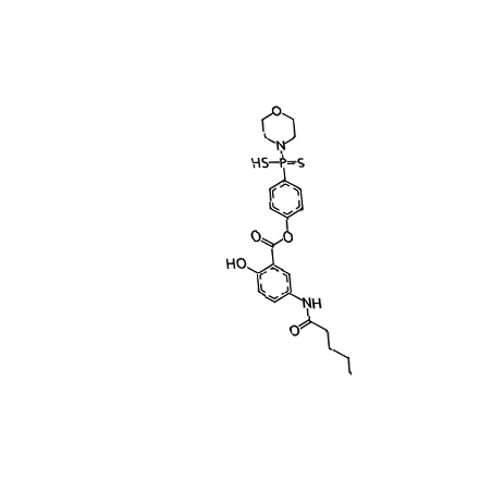 CCCCC(=O)Nc1ccc(O)c(C(=O)Oc2ccc(P(=S)(S)N3CCOCC3)cc2)c1